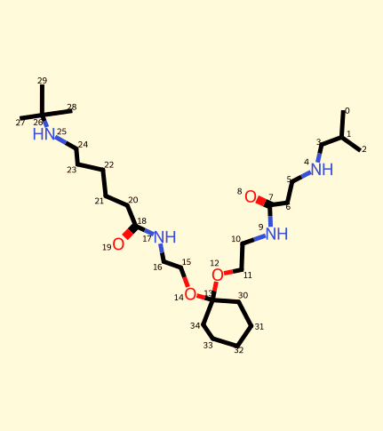 CC(C)CNCCC(=O)NCCOC1(OCCNC(=O)CCCCCNC(C)(C)C)CCCCC1